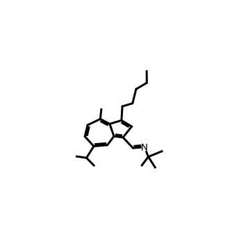 CCCCCc1cc(C=NC(C)(C)C)c2cc(C(C)C)ccc(C)c1-2